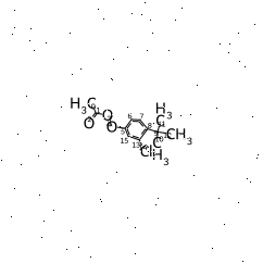 CC(=O)OOc1ccc(C(C)(C)C)c(Cl)c1